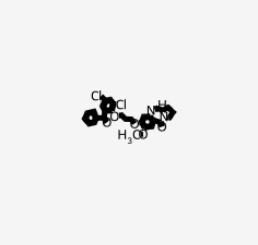 COc1cc2c(cc1OCCCOc1c(Cl)cc(Cl)cc1C(=O)c1ccccc1)N=C[C@@H]1CCCN1C2=O